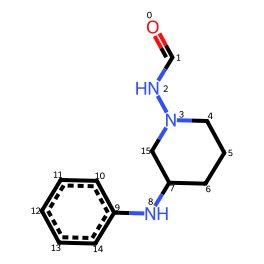 O=CNN1CCCC(Nc2ccccc2)C1